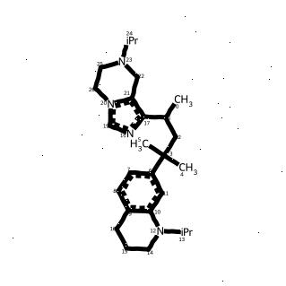 CC(CC(C)(C)c1ccc2c(c1)N(C(C)C)CCC2)c1ncn2c1CN(C(C)C)CC2